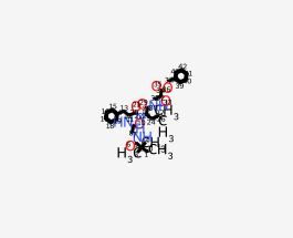 CCC(C)(C)C(=O)NCC(=O)NC(Cc1ccccc1)C(=O)NC(CC(C)C)C(=O)NCC(=O)C(=O)OCc1ccccc1